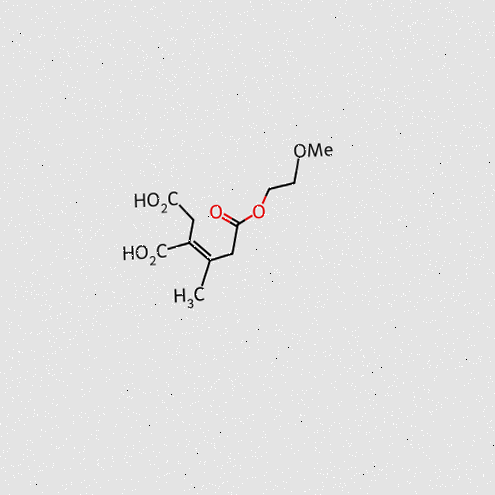 COCCOC(=O)CC(C)=C(CC(=O)O)C(=O)O